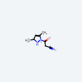 CC1=CC(C)NN1C(=O)CC#N